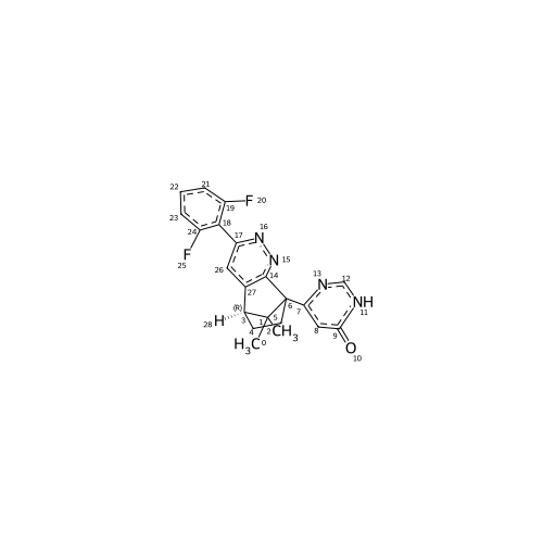 CC1(C)[C@H]2CCC1(c1cc(=O)[nH]cn1)c1nnc(-c3c(F)cccc3F)cc12